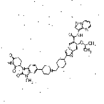 CC(C)Oc1cc2nc(C3CCC(CN4CCC(c5ccc6c(c5)n(C)c(=O)n6C5CCC(=O)NC5=O)CC4)CC3)cn2cc1C(=O)Nc1cnn2cccnc12